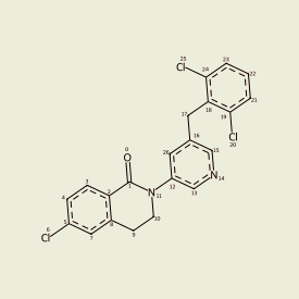 O=C1c2ccc(Cl)cc2CCN1c1cncc(Cc2c(Cl)cccc2Cl)c1